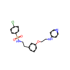 O=S(=O)(NCCc1cccc(OCCNc2ccncc2)c1)c1ccc(Cl)cc1